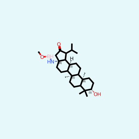 COBN[C@@]12CCC3[C@H](CCC4[C@@]3(C)CCC3C(C)(C)[C@@H](O)CC[C@@]34C)C1C(C(C)C)C(=O)C2